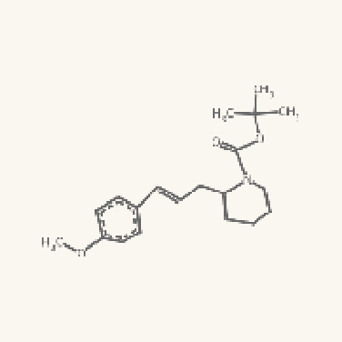 COc1ccc(/C=C/CC2CCCCN2C(=O)OC(C)(C)C)cc1